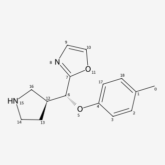 Cc1ccc(O[C@@H](c2ncco2)[C@H]2CCNC2)cc1